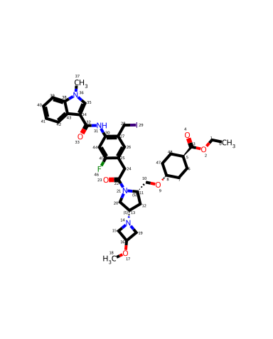 CCOC(=O)[C@H]1CC[C@H](OC[C@@H]2C[C@H](N3CC(OC)C3)CN2C(=O)Cc2cc(CI)c(NC(=O)c3cn(C)c4ccccc34)cc2F)CC1